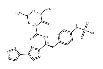 COC(=O)[C@@H](CC(C)C)C(=O)N[C@@H](Cc1ccc(NS(=O)(=O)O)cc1)c1csc(-c2cccs2)n1